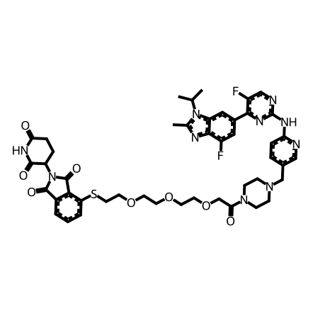 Cc1nc2c(F)cc(-c3nc(Nc4ccc(CN5CCN(C(=O)COCCOCCOCCSc6cccc7c6C(=O)N(C6CCC(=O)NC6=O)C7=O)CC5)cn4)ncc3F)cc2n1C(C)C